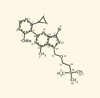 COc1ncnc(C2CC2)c1-c1nc(C)c2c(n1)c(Br)nn2COCC[Si](C)(C)C